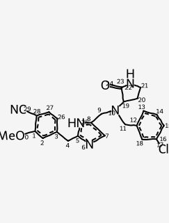 COc1cc(Cc2ncc(CN(Cc3cccc(Cl)c3)C3CCNC3=O)[nH]2)ccc1C#N